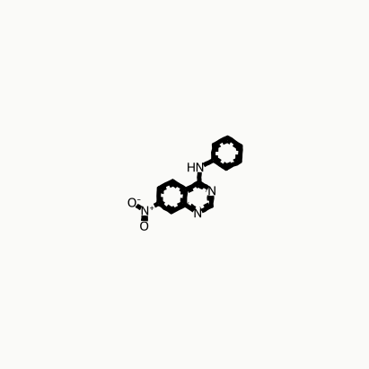 O=[N+]([O-])c1ccc2c(Nc3ccccc3)ncnc2c1